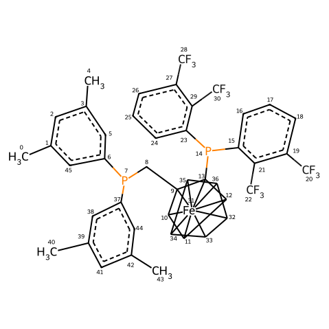 Cc1cc(C)cc(P(C[C]23[CH]4[CH]5[CH]6[C]2(P(c2cccc(C(F)(F)F)c2C(F)(F)F)c2cccc(C(F)(F)F)c2C(F)(F)F)[Fe]54632789[CH]3[CH]2[CH]7[CH]8[CH]39)c2cc(C)cc(C)c2)c1